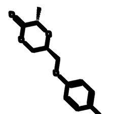 C[C@@H]1O[C@@H](COc2ccc([N+](=O)[O-])cc2)COC1=O